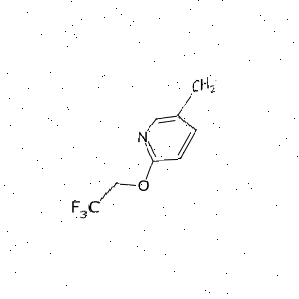 [CH2]c1ccc(OCC(F)(F)F)nc1